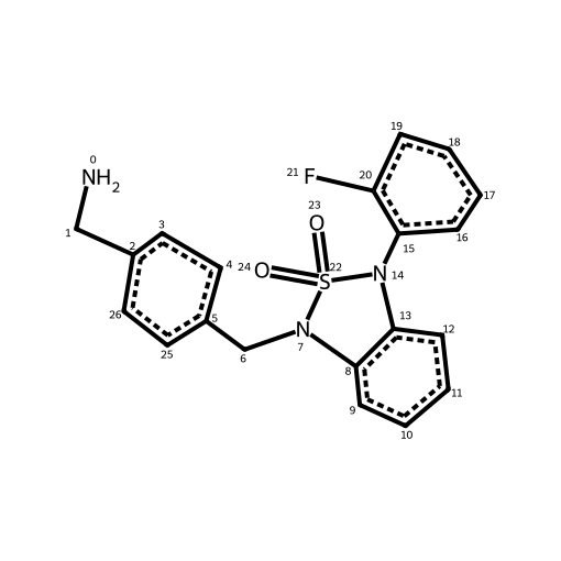 NCc1ccc(CN2c3ccccc3N(c3ccccc3F)S2(=O)=O)cc1